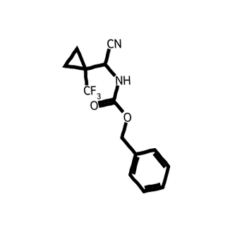 N#CC(NC(=O)OCc1ccccc1)C1(C(F)(F)F)CC1